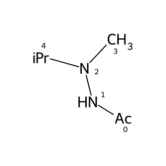 CC(=O)NN(C)C(C)C